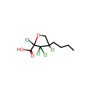 CCCCC1(Cl)COC(Cl)(C(=O)O)C1(Cl)Cl